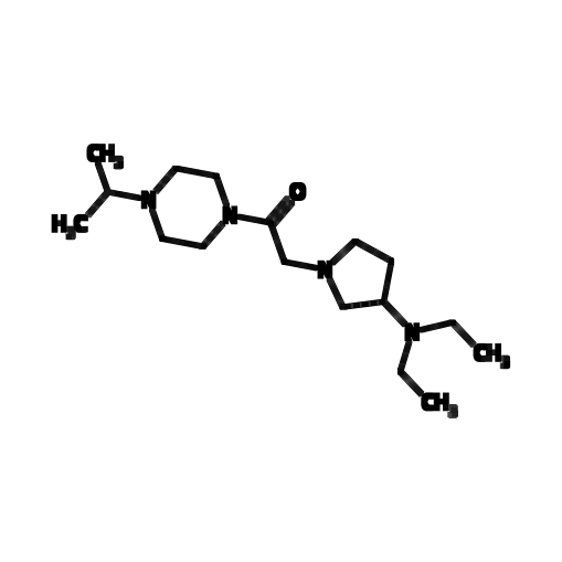 CCN(CC)C1CCN(CC(=O)N2CCN(C(C)C)CC2)C1